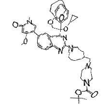 COc1cc(=O)n(C)cc1-c1ccc2nc(N3CCC(CN4CCN(C(=O)OC(C)(C)C)CC4)CC3)nc(C(COC3CCCCO3)(OC3CC3)c3ccccc3)c2c1